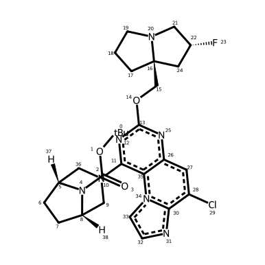 CC(C)(C)OC(=O)N1[C@@H]2CC[C@H]1CN(c1nc(OC[C@@]34CCCN3C[C@H](F)C4)nc3cc(Cl)c4nccn4c13)C2